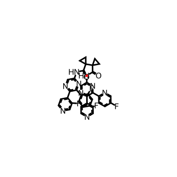 O=C(Nc1cnc(-c2ccncc2F)c(-c2ccc(F)cn2)n1)C1(C2(C(=O)Nc3cnc(-c4ccncc4F)c(-c4ccccc4F)n3)CC2)CC1